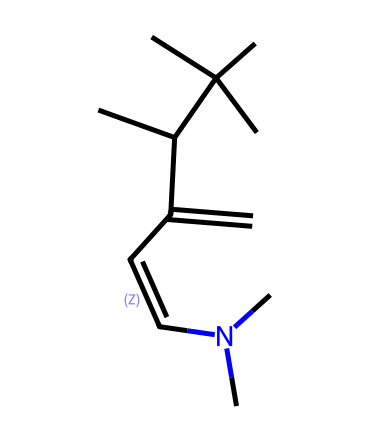 C=C(/C=C\N(C)C)C(C)C(C)(C)C